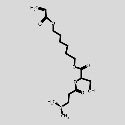 C=CC(=O)OCCCCCCOC(=O)C(CO)OC(=O)CCN(C)C